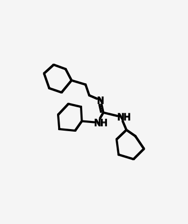 C1CCC(CCN=C(NC2CCCCC2)NC2CCCCC2)CC1